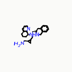 NCC1CC1CN(C[C@H]1Cc2ccccc2CN1)[C@H]1CCCc2cccnc21